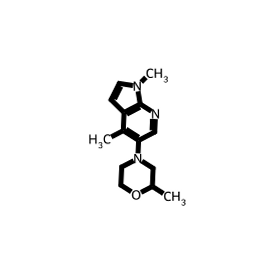 Cc1c(N2CCOC(C)C2)cnc2c1ccn2C